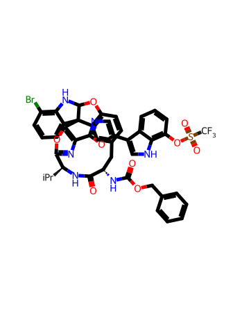 CC(C)[C@@H]1NC(=O)[C@@H](NC(=O)OCc2ccccc2)Cc2ccc3c(c2)C2(c4cccc(Br)c4NC2O3)c2oc1nc2-c1ncc(-c2c[nH]c3c(OS(=O)(=O)C(F)(F)F)cccc23)o1